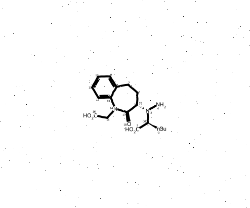 CCCC[C@@H](C(=O)O)N(N)[C@H]1CCc2ccccc2N(CC(=O)O)C1=O